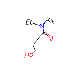 CCN(CC)C(=O)[CH]CO